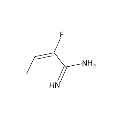 C/C=C(/F)C(=N)N